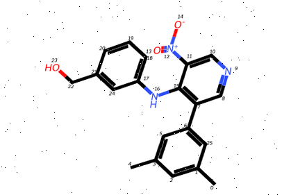 Cc1cc(C)cc(-c2cncc([N+](=O)[O-])c2Nc2cccc(CO)c2)c1